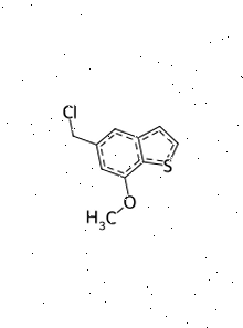 COc1cc(CCl)cc2ccsc12